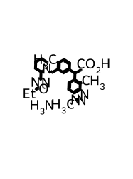 CCc1nc(C2CCCCN2Cc2cc(C(CC(=O)O)c3ccc4c(nnn4C)c3C)ccc2C)no1.N